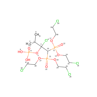 CC(C)C(Cl)(OP(=O)(O)O)C(P(=O)(OCCCl)OCCCl)P(=O)(OCCCl)OCCCl